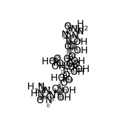 CN1CN([C@@H]2O[C@H](COP(=O)(O)OCC(COP(=O)(O)O)(COP(=O)(O)O)COP(=O)(O)OC[C@H]3O[C@@H](n4cnc5c(=O)[nH]c(N)nc54)[C@H](O)[C@@H]3O)[C@@H](O)[C@H]2O)c2nc(N)[nH]c(=O)c21